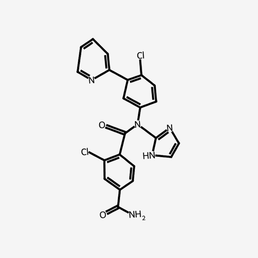 NC(=O)c1ccc(C(=O)N(c2ccc(Cl)c(-c3ccccn3)c2)c2ncc[nH]2)c(Cl)c1